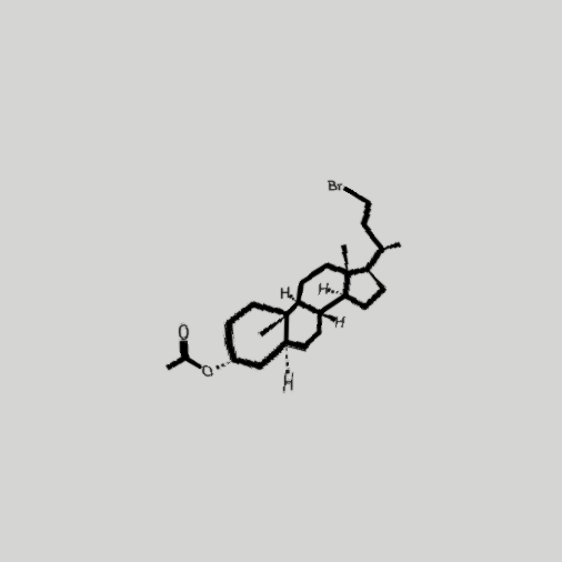 CC(=O)O[C@@H]1CC[C@@]2(C)[C@@H](CC[C@@H]3[C@@H]2CC[C@]2(C)[C@@H]([C@H](C)CCBr)CC[C@@H]32)C1